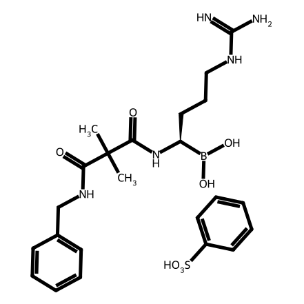 CC(C)(C(=O)NCc1ccccc1)C(=O)N[C@@H](CCCNC(=N)N)B(O)O.O=S(=O)(O)c1ccccc1